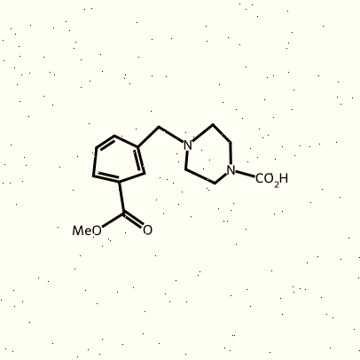 COC(=O)c1cccc(CN2CCN(C(=O)O)CC2)c1